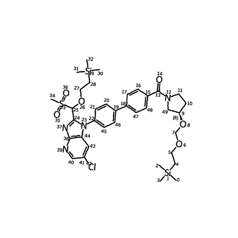 C[Si](C)(C)CCOCO[C@@H]1CCN(C(=O)c2ccc(-c3ccc(-n4c(C(OCC[Si](C)(C)C)S(C)(=O)=O)nc5ncc(Cl)cc54)cc3)cc2)C1